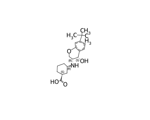 CC(C)(C)c1ccc2c(c1)OC[C@@H](N[C@@H]1CCC[C@H](C(=O)O)C1)[C@H]2O